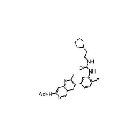 CC(=O)Nc1cc2nc(C)c(-c3ccc(F)c(NC(=O)NCCC4CCCC4)c3)cc2cn1